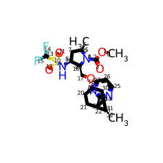 COC(=O)N1[C@H](C)C[C@H](NS(=O)(=O)C(F)F)[C@@H]1CO[C@H]1CC[C@]2(c3ncccn3)C(C1)[C@@H]2C